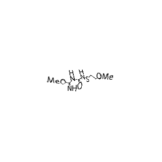 COCCSNC(=O)NC(=N)OC